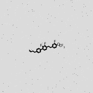 C=CCCc1ccc(-c2ccc(CCc3ccc(OC(F)(F)F)c(F)c3)c(F)c2F)cc1